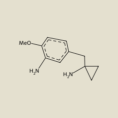 COc1ccc(CC2(N)CC2)cc1N